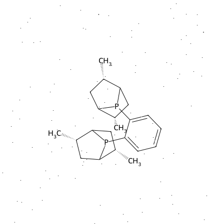 C[C@H]1CC2[C@@H](C)CC1P2c1ccccc1P1C2C[C@H](C)C1C[C@@H]2C